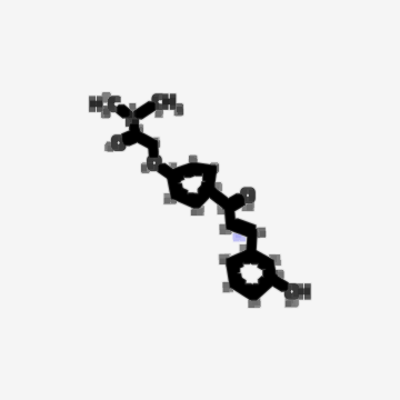 CN(C)C(=O)COc1ccc(C(=O)/C=C/c2cccc(O)c2)cc1